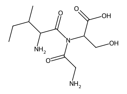 CCC(C)C(N)C(=O)N(C(=O)CN)C(CO)C(=O)O